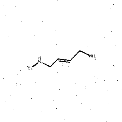 CCNCC=CCN